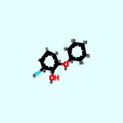 Oc1c(F)cccc1Oc1ccccc1